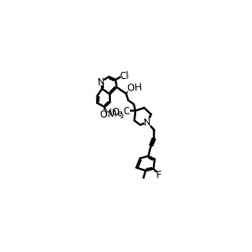 COc1ccc2ncc(Cl)c([C@H](O)CCC3(C(=O)O)CCN(CC#Cc4ccc(C)c(F)c4)CC3)c2c1